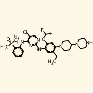 CCc1cc(Nc2ncc(Cl)c(Nc3ccccc3P(C)(C)=O)n2)c(OC(F)F)cc1N1CCC(N2CCNCC2)CC1